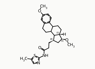 COc1ccc2c(c1)CCC1C2CC[C@H]2C1[C@H](CCC(=O)Nc1ncc(C)s1)C[C@@H]2OC